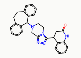 O=C1CC(c2nnc3n2CCN(C2c4ccccc4CCc4ccccc42)C3)c2ccccc2N1